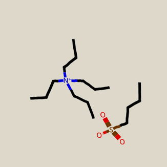 CCCCS(=O)(=O)[O-].CCC[N+](CCC)(CCC)CCC